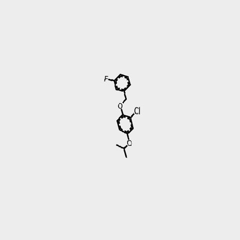 CC(C)Oc1ccc(OCc2cccc(F)c2)c(Cl)c1